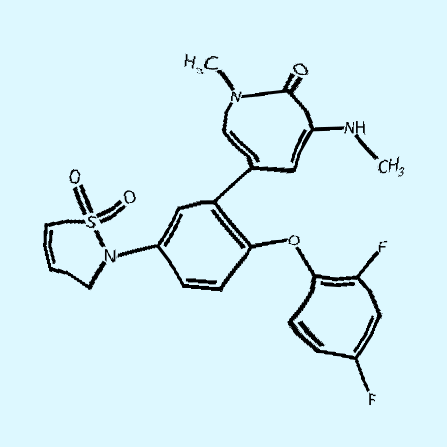 CNc1cc(-c2cc(N3CC=CS3(=O)=O)ccc2Oc2ccc(F)cc2F)cn(C)c1=O